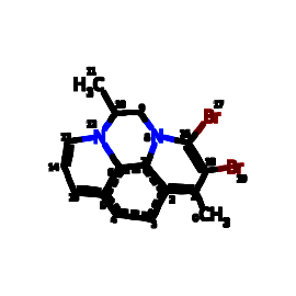 CC1=c2ccc3c4c2N(CC(C)N4C=CC=3)C(Br)=C1Br